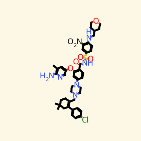 Cc1cc(Oc2cc(N3CCN(CC4=C(c5ccc(Cl)cc5)CC(C)(C)CC4)CC3)ccc2C(=O)NS(=O)(=O)c2ccc(NCC3CCOCC3)c([N+](=O)[O-])c2)cnc1N